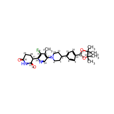 Cc1c(N2CCC(c3ccc(B4OC(C)(C)C(C)(C)O4)cc3)CC2)cnc(C2CCC(=O)NC2=O)c1F